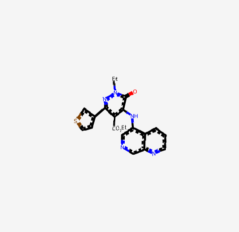 CCOC(=O)c1c(-c2ccsc2)nn(CC)c(=O)c1Nc1cncc2ncccc12